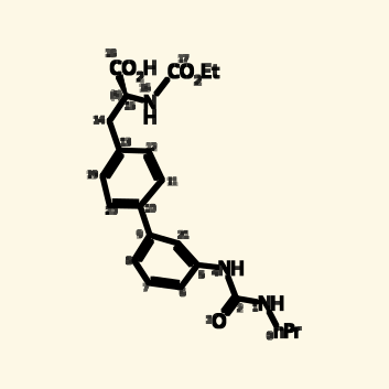 CCCNC(=O)Nc1cccc(-c2ccc(C[C@H](NC(=O)OCC)C(=O)O)cc2)c1